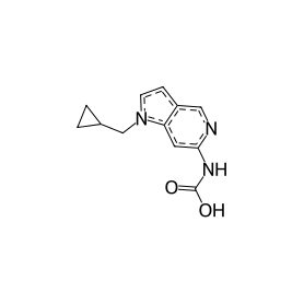 O=C(O)Nc1cc2c(ccn2CC2CC2)cn1